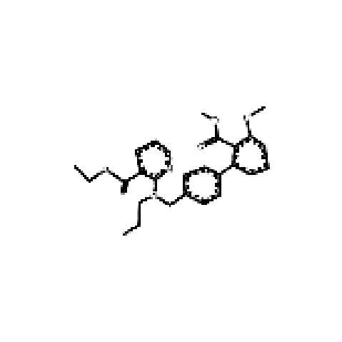 CCCN(Cc1ccc(-c2cccc(OC)c2C(=O)OC)cc1)c1ncccc1C(=O)OCC